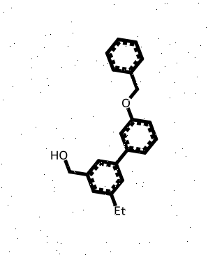 CCc1cc(CO)cc(-c2cccc(OCc3ccccc3)c2)c1